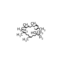 C=CC(C)(O)CCC=C(C)CCC=C(C)C.CC(C)=CCC[C@H](C)[C@@H]1C=CC(C)=CC1